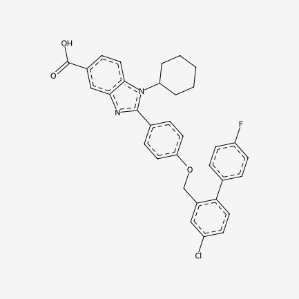 O=C(O)c1ccc2c(c1)nc(-c1ccc(OCc3cc(Cl)ccc3-c3ccc(F)cc3)cc1)n2C1CCCCC1